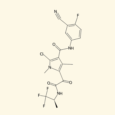 Cc1c(C(=O)Nc2ccc(F)c(C#N)c2)c(Cl)n(C)c1C(=O)C(=O)N[C@@H](C)C(F)(F)F